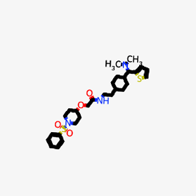 CN(C)C(c1cccs1)C1CCC(CCNC(=O)COC2CCN(S(=O)(=O)c3ccccc3)CC2)CC1